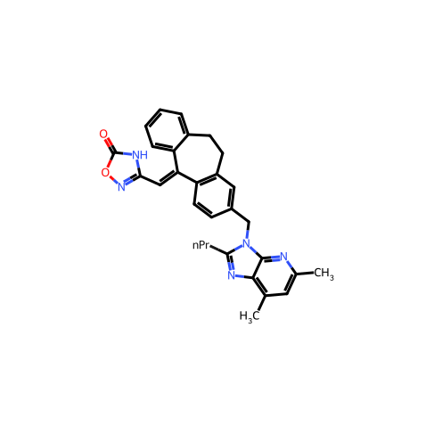 CCCc1nc2c(C)cc(C)nc2n1Cc1ccc2c(c1)CCc1ccccc1C2=Cc1noc(=O)[nH]1